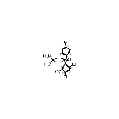 NC(=O)O.O=S(=O)(c1ccc(Cl)cc1)c1cc(Cl)c(Cl)cc1Cl